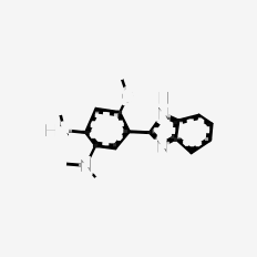 CNc1cc(OC)c(-c2nc3ccccc3[nH]2)cc1N(C)C